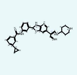 N=C/C(=C\NC1CCNCC1)c1cnc2c(c1)OC(c1cccc(NC(=O)c3cccc(C4CC4)c3)c1)N2